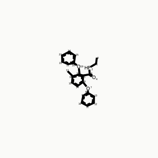 CCPC(=O)c1c(Oc2ccccc2)ccc(C)c1Oc1ccccc1